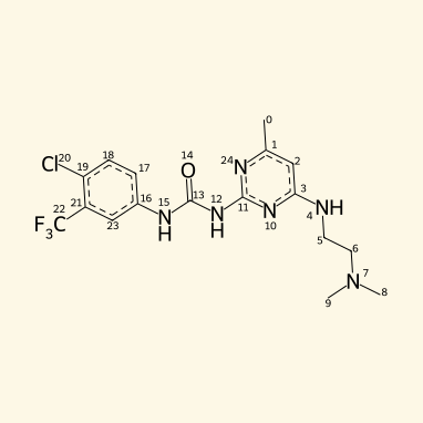 Cc1cc(NCCN(C)C)nc(NC(=O)Nc2ccc(Cl)c(C(F)(F)F)c2)n1